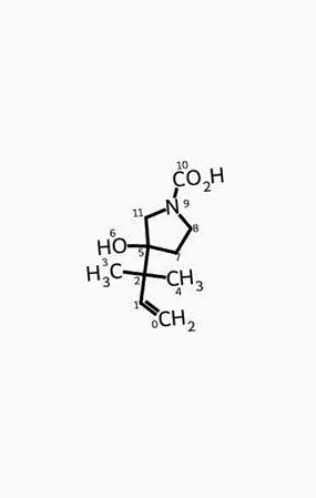 C=CC(C)(C)C1(O)CCN(C(=O)O)C1